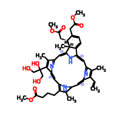 C=CC1=C(C)C2=NC/1=C\C1NC(=C(CCCC(=O)OC)C1C)/C=C1N=C(/C=C3\N/C(=C\2)C2=CC=C(CC(=O)OC)[C@@H](CC(=O)OC)[C@]23C)C(C)=C\1C(O)(CO)CO